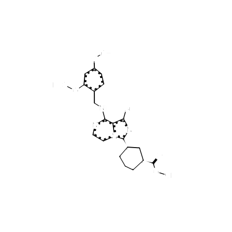 COC(=O)[C@H]1CCC[C@@H](c2nc(Br)c3c(NCc4ccc(OC)cc4OC)nccn23)C1